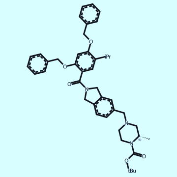 CC(C)c1cc(C(=O)N2Cc3ccc(CN4CCN(C(=O)OC(C)(C)C)[C@@H](C)C4)cc3C2)c(OCc2ccccc2)cc1OCc1ccccc1